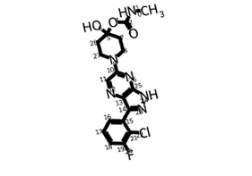 CNC(=O)OC1(O)CCN(c2cnc3c(-c4cccc(F)c4Cl)n[nH]c3n2)CC1